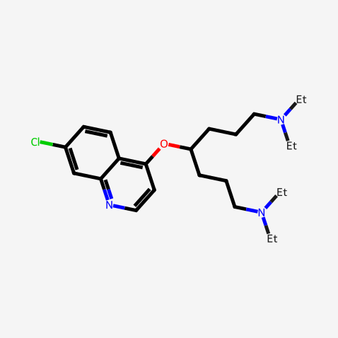 CCN(CC)CCCC(CCCN(CC)CC)Oc1ccnc2cc(Cl)ccc12